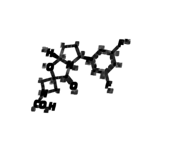 O=C(O)N1CC2(C1)O[C@@H]1CC[C@@H](c3cc(F)cc(F)c3)N1C2=O